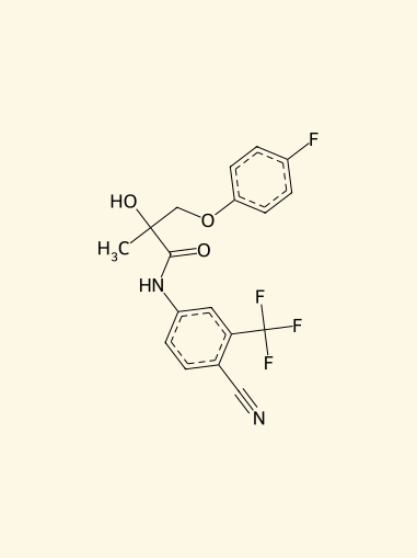 CC(O)(COc1ccc(F)cc1)C(=O)Nc1ccc(C#N)c(C(F)(F)F)c1